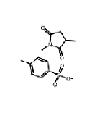 CC1CC(=O)N(C)C1=O.Cc1ccc(S(=O)(=O)O)cc1